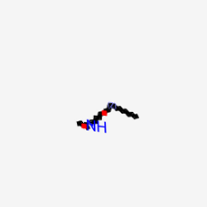 CC=CC(C)(C)NCCCCCCCC/C=C\CCCCCCCC